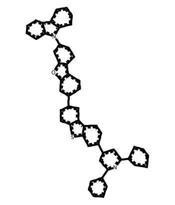 c1ccc(-c2cc(-c3ccc4c(c3)sc3ccc(-c5ccc6c(c5)oc5cc(-n7c8ccccc8c8ccccc87)ccc56)cc34)cc(-c3ccccc3)n2)cc1